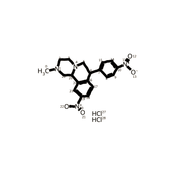 CN1CCN2CC(c3ccc([N+](=O)[O-])cc3)c3ccc([N+](=O)[O-])cc3C2C1.Cl.Cl